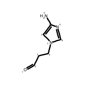 Nc1cn(CCC=O)cn1